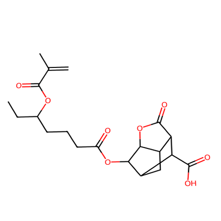 C=C(C)C(=O)OC(CC)CCCC(=O)OC1C2CC3C1OC(=O)C3C2C(=O)O